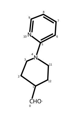 O=[C]C1CCN(c2ccccn2)CC1